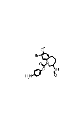 COc1cc2c(cc1Br)N(C(=O)Oc1ccc(N)cc1)CC(NC=O)CCC2